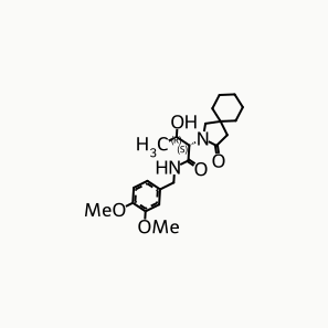 COc1ccc(CNC(=O)[C@H]([C@@H](C)O)N2CC3(CCCCC3)CC2=O)cc1OC